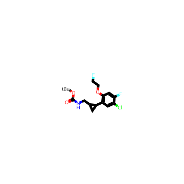 CC(C)(C)OC(=O)NCC1CC1c1cc(Cl)c(F)cc1OCCF